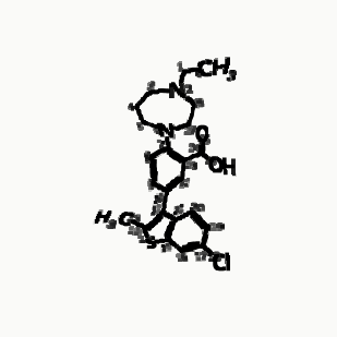 CCN1CCCN(c2ccc(-c3c(C)sc4cc(Cl)ccc34)cc2C(=O)O)CC1